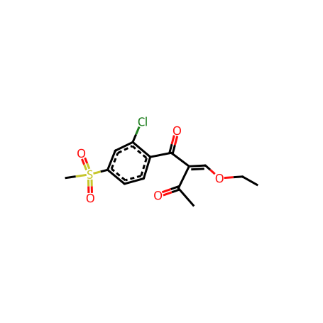 CCOC=C(C(C)=O)C(=O)c1ccc(S(C)(=O)=O)cc1Cl